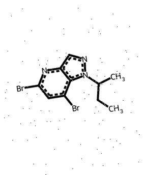 CCC(C)n1ncc2nc(Br)cc(Br)c21